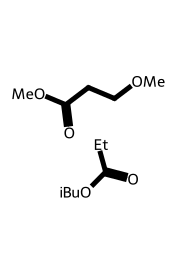 CCC(=O)OCC(C)C.COCCC(=O)OC